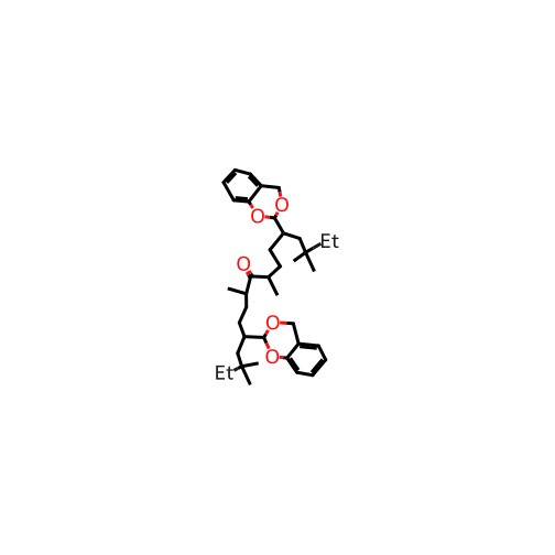 CCC(C)(C)CC(CCC(C)C(=O)C(C)CCC(CC(C)(C)CC)C1OCc2ccccc2O1)C1OCc2ccccc2O1